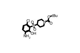 CC(C)(C)OC(=O)N1CCC(S(=O)(=O)c2c(Cl)ccc(N)c2O)CC1